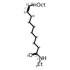 [CH2]CNC(=O)CCCCCCC/C=C\CCCCCCCC